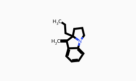 C=C1c2ccccc2N2CCCC12CCC